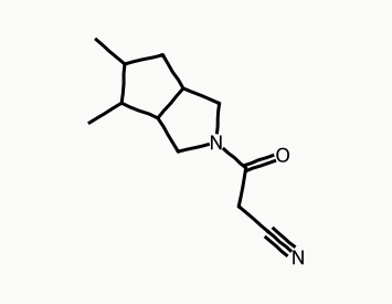 CC1CC2CN(C(=O)CC#N)CC2C1C